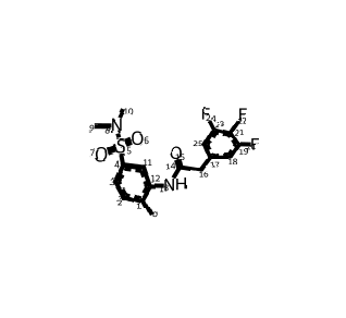 Cc1ccc(S(=O)(=O)N(C)C)cc1NC(=O)Cc1cc(F)c(F)c(F)c1